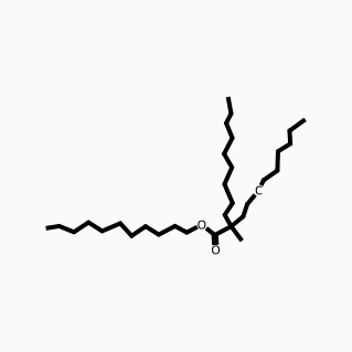 CCCCCCCCCCCOC(=O)C(C)(CCCCCCCCC)CCCCCCCCC